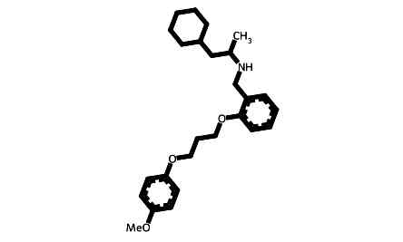 COc1ccc(OCCCOc2ccccc2CNC(C)CC2CCCCC2)cc1